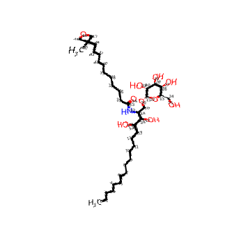 CCCCCCCCCCCCCCC(O)C(O)C(CO[C@H]1O[C@H](CO)[C@H](O)[C@H](O)[C@H]1O)NC(=O)CCCCCCCCCCC1(C)COC1